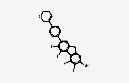 CCCc1cc2c(c(F)c1F)-c1c(cc(-c3ccc(C4=CCCOC4)cc3)c(F)c1F)C2